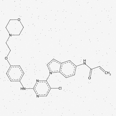 C=CC(=O)Nc1ccc2c(ccn2-c2nc(Nc3ccc(OCCN4CCOCC4)cc3)ncc2Cl)c1